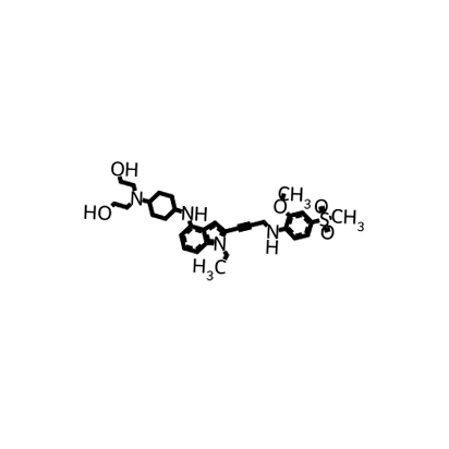 CCn1c(C#CCNc2ccc(S(C)(=O)=O)cc2OC)cc2c(NC3CCC(N(CCO)CCO)CC3)cccc21